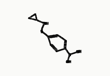 OB(O)c1ccc(SNC2CC2)cc1